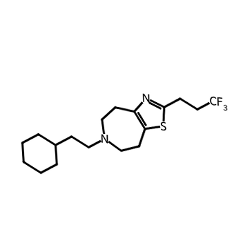 FC(F)(F)CCc1nc2c(s1)CCN(CCC1CCCCC1)CC2